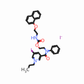 CCC[n+]1cc(I)cc(C(=O)N(CCOC(=O)NCCOc2cccc3ccccc23)c2ccccc2)c1.[I-]